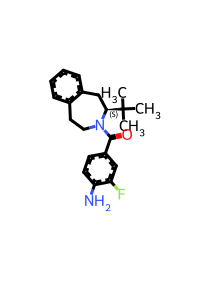 CC(C)(C)[C@@H]1Cc2ccccc2CCN1C(=O)c1ccc(N)c(F)c1